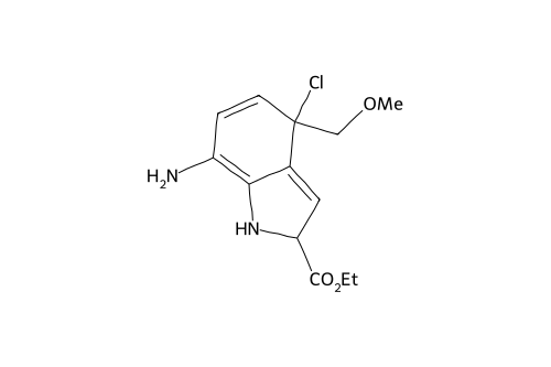 CCOC(=O)C1C=C2C(=C(N)C=CC2(Cl)COC)N1